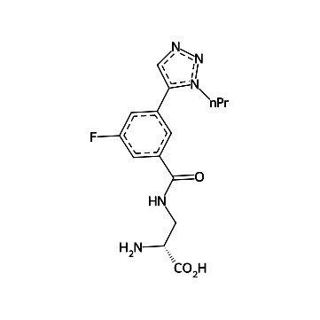 CCCn1nncc1-c1cc(F)cc(C(=O)NC[C@@H](N)C(=O)O)c1